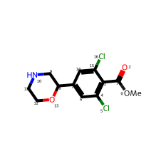 COC(=O)c1c(Cl)cc(C2CNCCO2)cc1Cl